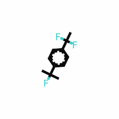 CC(C)(F)c1ccc(C(C)(F)F)cc1